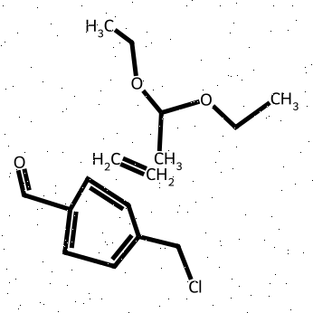 C=C.CCOC(C)OCC.O=Cc1ccc(CCl)cc1